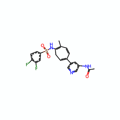 CC(=O)Nc1cncc(C2=CCC(NS(=O)(=O)c3ccc(F)c(F)c3)=C(C)C=C2)c1